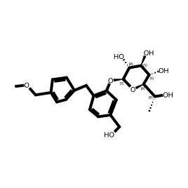 COCc1ccc(Cc2ccc(CO)cc2O[C@@H]2O[C@H]([C@@H](C)O)[C@@H](O)[C@H](O)[C@H]2O)cc1